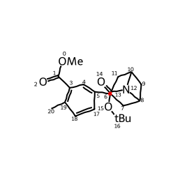 COC(=O)c1cc(C2CC3CC(C2)N3C(=O)OC(C)(C)C)ccc1C